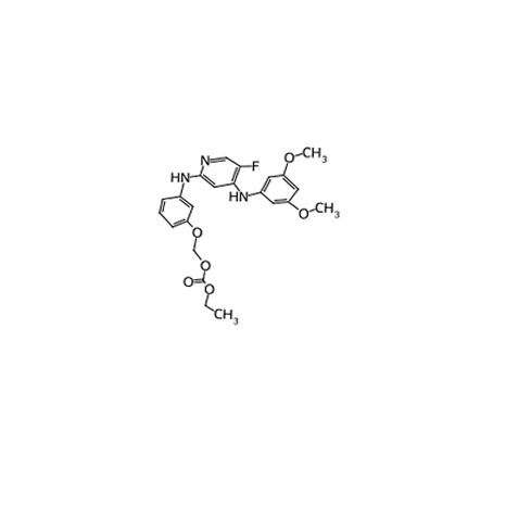 CCOC(=O)OCOc1cccc(Nc2cc(Nc3cc(OC)cc(OC)c3)c(F)cn2)c1